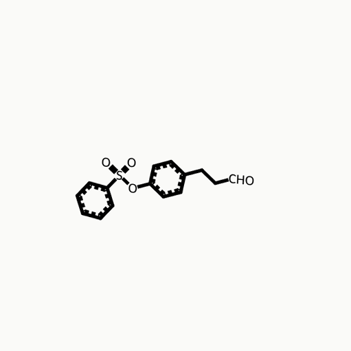 O=CCCc1ccc(OS(=O)(=O)c2ccccc2)cc1